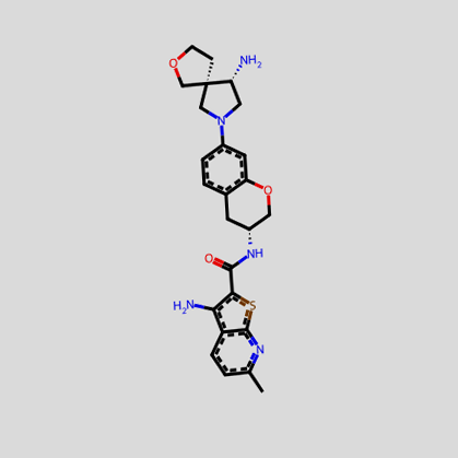 Cc1ccc2c(N)c(C(=O)N[C@H]3COc4cc(N5C[C@@H](N)[C@@]6(CCOC6)C5)ccc4C3)sc2n1